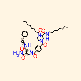 CCCCCCCCNC(=O)C1CN(C(=O)c2ccc(C(=O)N3C[C@@H](C(N)=O)[C@H](C(=O)N[C@H]4C[C@@H]4c4ccccc4)C3)cc2)CCN1C(=O)CCCCCCC